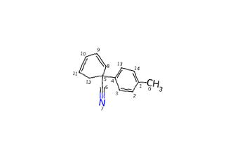 Cc1ccc(C2(C#N)C=CC=CC2)cc1